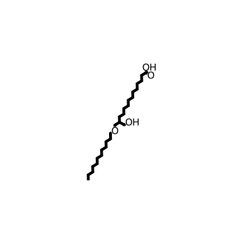 CCCCCCCCCCCCOCC(CO)CCCCCCCCCCCC(=O)O